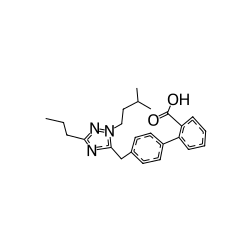 CCCc1nc(Cc2ccc(-c3ccccc3C(=O)O)cc2)n(CCC(C)C)n1